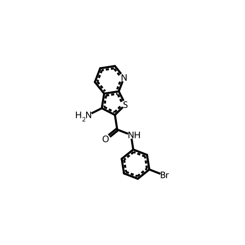 Nc1c(C(=O)Nc2cccc(Br)c2)sc2ncccc12